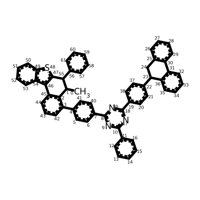 CC1c2c(-c3ccc(-c4nc(-c5ccccc5)nc(-c5ccc(C6Cc7ccccc7-c7ccccc76)cc5)n4)cc3)cccc2-c2c(sc3ccccc23)C1c1ccccc1